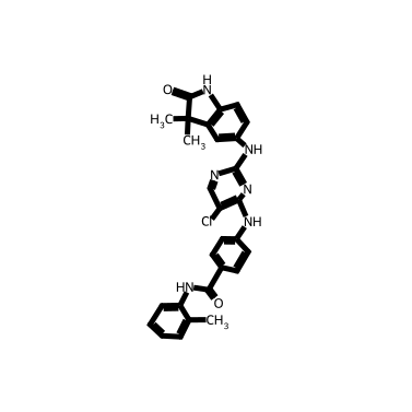 Cc1ccccc1NC(=O)c1ccc(Nc2nc(Nc3ccc4c(c3)C(C)(C)C(=O)N4)ncc2Cl)cc1